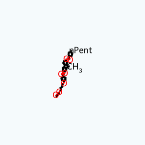 CCCCCC1CCC(C(=O)Oc2ccc3c(c2)C(C)c2cc(OC(=O)c4ccc(OCCCCOCC5CO5)cc4)ccc2-3)CC1